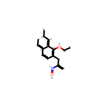 C=C(Cc1ccc(=C/C)/c(=C\CC)c1OCC)N=O